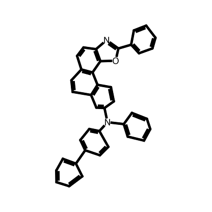 c1ccc(-c2ccc(N(c3ccccc3)c3ccc4c(ccc5ccc6nc(-c7ccccc7)oc6c54)c3)cc2)cc1